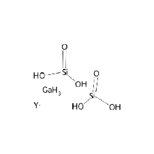 O=[Si](O)O.O=[Si](O)O.[GaH3].[Y]